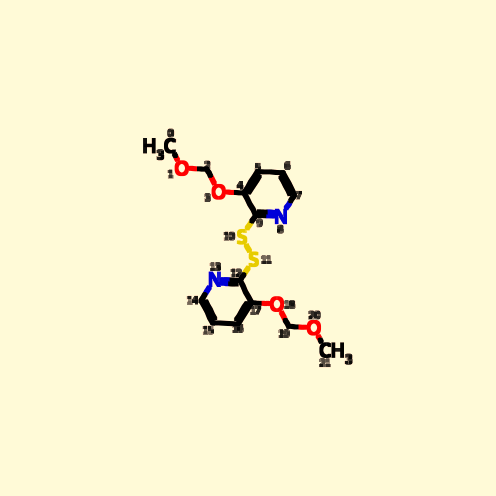 COCOc1cccnc1SSc1ncccc1OCOC